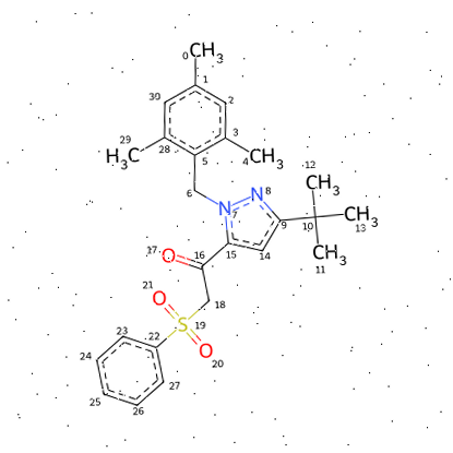 Cc1cc(C)c(Cn2nc(C(C)(C)C)cc2C(=O)CS(=O)(=O)c2ccccc2)c(C)c1